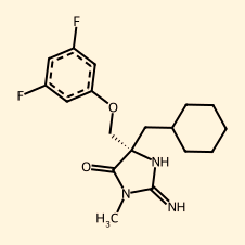 CN1C(=N)N[C@](COc2cc(F)cc(F)c2)(CC2CCCCC2)C1=O